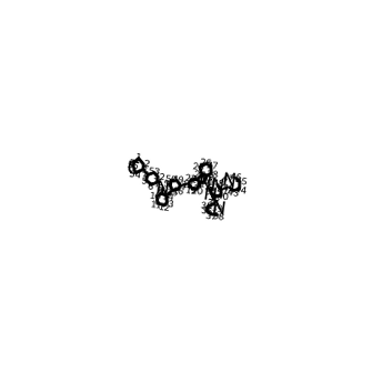 c1ccc(-c2ccc(-n3c4ccccc4c4cc(-c5ccc6c(c5)c5ccccc5n6-c5nc(-c6ccccn6)cc(-c6ccccn6)n5)ccc43)cc2)cc1